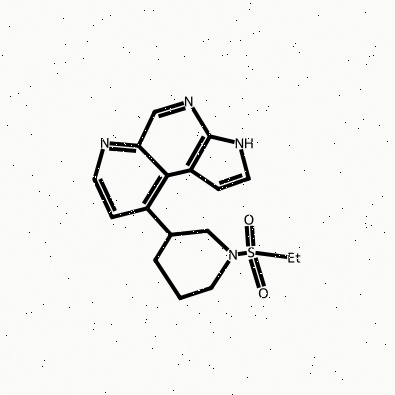 CCS(=O)(=O)N1CCCC(c2ccnc3cnc4[nH]ccc4c23)C1